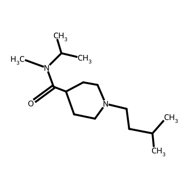 CC(C)CCN1CCC(C(=O)N(C)C(C)C)CC1